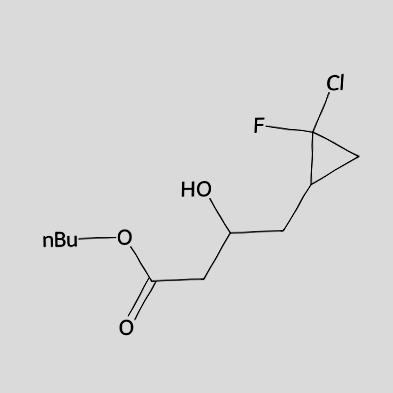 CCCCOC(=O)CC(O)CC1CC1(F)Cl